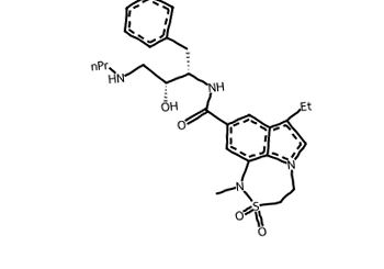 CCCNC[C@@H](O)[C@H](Cc1ccccc1)NC(=O)c1cc2c3c(c1)c(CC)cn3CCS(=O)(=O)N2C